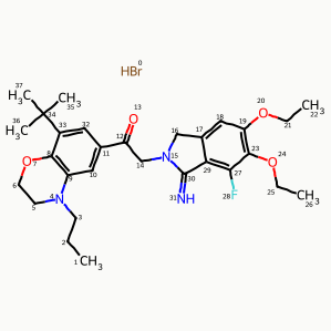 Br.CCCN1CCOc2c1cc(C(=O)CN1Cc3cc(OCC)c(OCC)c(F)c3C1=N)cc2C(C)(C)C